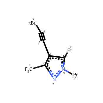 CCc1c(C#CC(C)(C)C)c(C(F)(F)F)nn1C(C)C